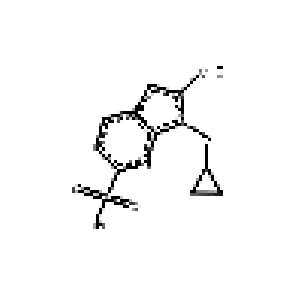 CC(C)S(=O)(=O)c1ccc2cc(C=O)n(CC3CC3)c2n1